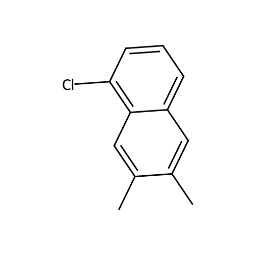 Cc1cc2cccc(Cl)c2cc1C